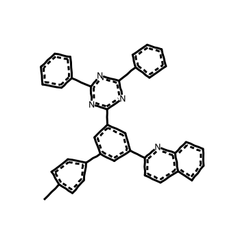 Cc1ccc(-c2cc(-c3ccc4ccccc4n3)cc(-c3nc(-c4ccccc4)nc(-c4ccccc4)n3)c2)cc1